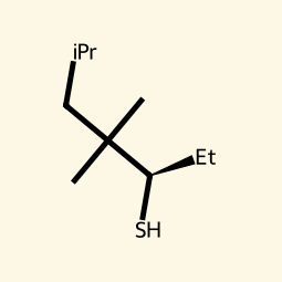 CC[C@@H](S)C(C)(C)CC(C)C